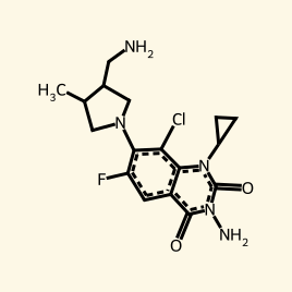 CC1CN(c2c(F)cc3c(=O)n(N)c(=O)n(C4CC4)c3c2Cl)CC1CN